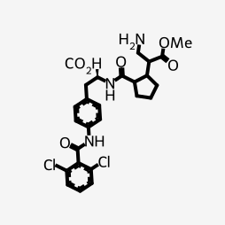 COC(=O)C(CN)C1CCCC1C(=O)N[C@@H](Cc1ccc(NC(=O)c2c(Cl)cccc2Cl)cc1)C(=O)O